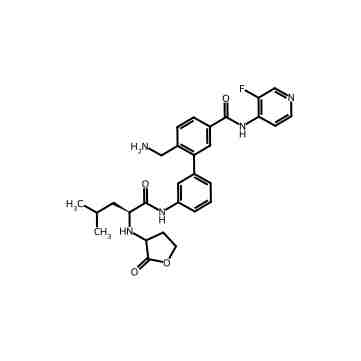 CC(C)C[C@H](NC1CCOC1=O)C(=O)Nc1cccc(-c2cc(C(=O)Nc3ccncc3F)ccc2CN)c1